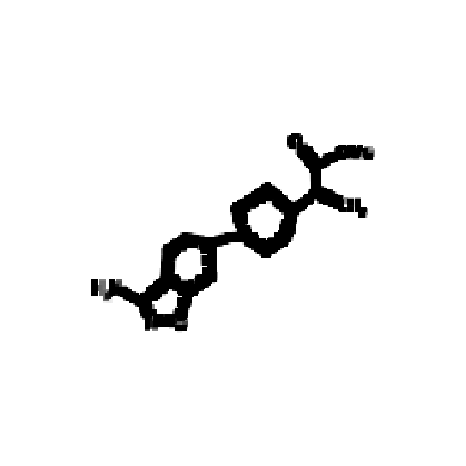 C=C(C(=O)OC)c1ccc(-c2ccc3c(N)noc3c2)cc1